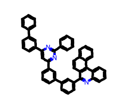 c1ccc(-c2cccc(-c3cc(-c4cccc(-c5cccc(-c6nc7ccccc7c7c6ccc6ccccc67)c5)c4)nc(-c4ccccc4)n3)c2)cc1